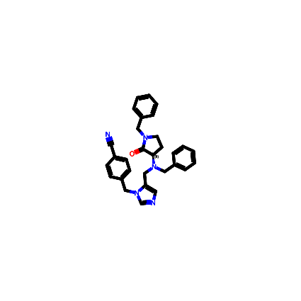 N#Cc1ccc(Cn2cncc2CN(Cc2ccccc2)[C@@H]2CCN(Cc3ccccc3)C2=O)cc1